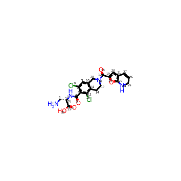 NC[C@H](NC(=O)c1c(Cl)cc2c(c1Cl)CCN(C(=O)c1cc3c(o1)NCC=C3)C2)C(=O)O